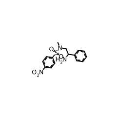 CN(CC(N)c1ccccc1)S(=O)(=O)c1ccc([N+](=O)[O-])cc1